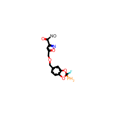 O=NC(=O)c1cc(COCc2ccc3c(c2)OC(F)(P)O3)on1